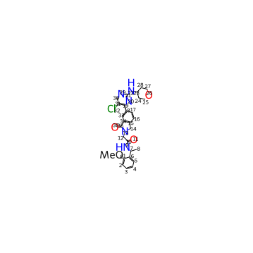 COc1ccccc1C(C)NC(=O)CN1Cc2ccc(-c3nc(NC4CCOCC4)ncc3Cl)cc2C1=O